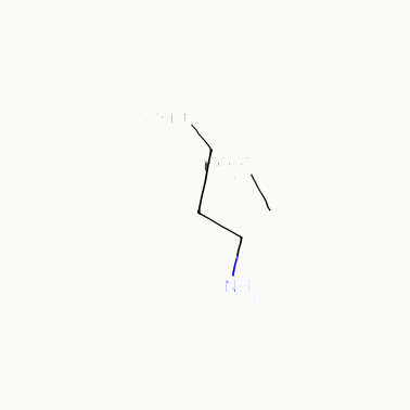 CC(=O)O.CCCCCCCCN